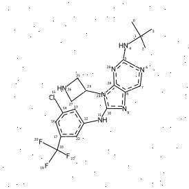 CC(C)(C)Nc1ncc2nc(Nc3cc(Cl)cc(C(F)(F)F)c3)n(C3CNC3)c2n1